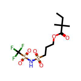 CCC(C)(C)C(=O)OCCCS(=O)(=O)NS(=O)(=O)C(F)(F)F